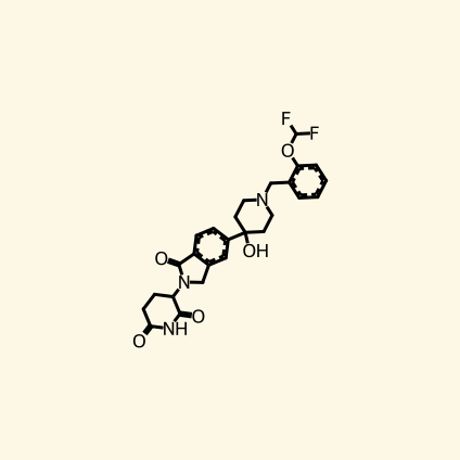 O=C1CCC(N2Cc3cc(C4(O)CCN(Cc5ccccc5OC(F)F)CC4)ccc3C2=O)C(=O)N1